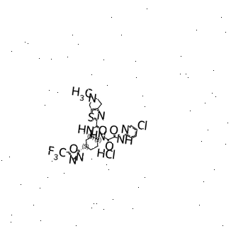 CN1CCc2nc(C(=O)N[C@@H]3C[C@@H](c4nnc(C(F)(F)F)o4)CC[C@@H]3NC(=O)C(=O)Nc3ccc(Cl)cn3)sc2C1.Cl